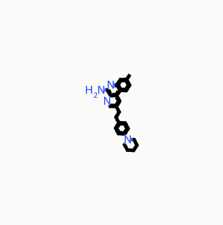 Cc1ccc2c(c1)nc(N)c1ncc(CCc3ccc(N4CCCCC4)cc3)cc12